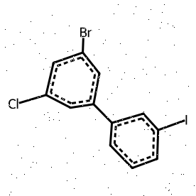 Clc1cc(Br)cc(-c2cccc(I)c2)c1